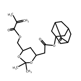 C=C(C)C(=O)OCC1CC(CC(=O)OC23CC4CC(C2)C(=O)C(C4)C3)OC(C)(C)O1